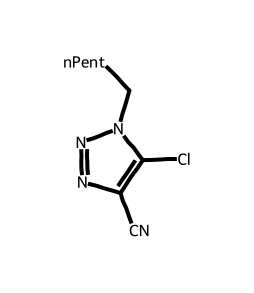 CCCCCCn1nnc(C#N)c1Cl